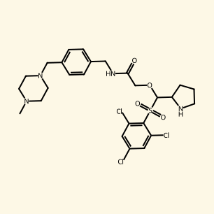 CN1CCN(Cc2ccc(CNC(=O)COC(C3CCCN3)S(=O)(=O)c3c(Cl)cc(Cl)cc3Cl)cc2)CC1